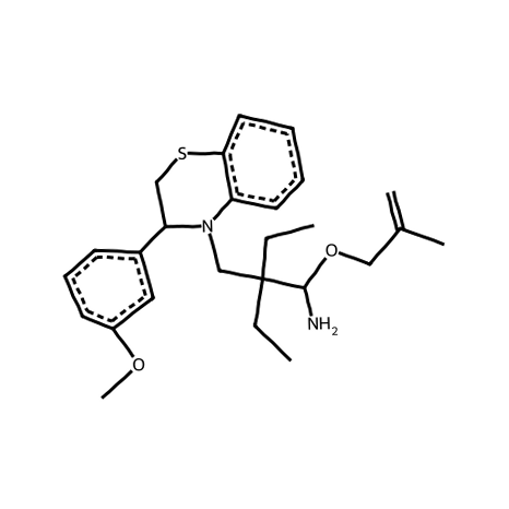 C=C(C)COC(N)C(CC)(CC)CN1c2ccccc2SCC1c1cccc(OC)c1